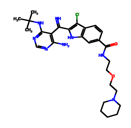 CC(C)(C)Nc1ncnc(N)c1C(=N)c1[nH]c2cc(C(=O)NCCOCCN3CCCCC3)ccc2c1Cl